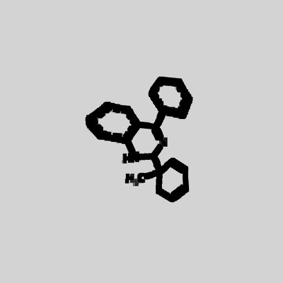 CC1(C2N=C(c3ccccc3)c3ccccc3N2)C=CC=CC1